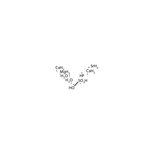 F.O.O.O=S(=O)(O)O.[CaH2].[CaH2].[MgH2].[SrH2]